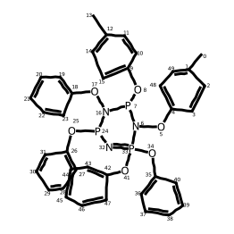 Cc1ccc(ON2P(Oc3ccc(C)cc3)N(Oc3ccccc3)P(Oc3ccccc3)N=P2(Oc2ccccc2)Oc2ccccc2)cc1